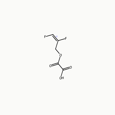 O=C(O)C(=O)OC/C(F)=C\F